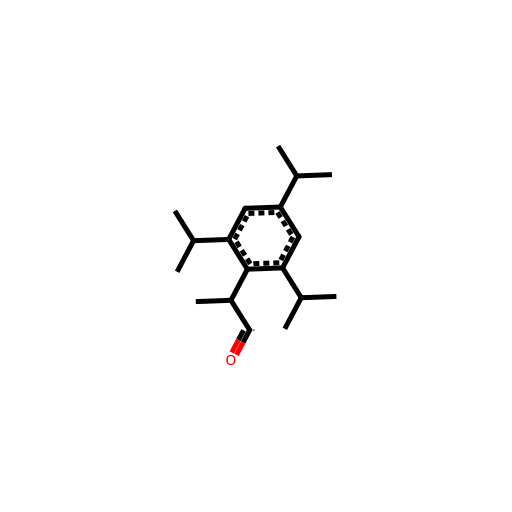 CC(C)c1cc(C(C)C)c(C(C)[C]=O)c(C(C)C)c1